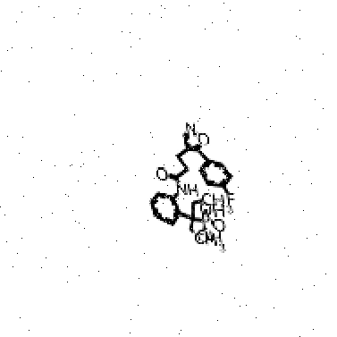 CCC(CC)(c1ccccc1NC(=O)CCc1cnoc1-c1ccc(F)cc1)P(=O)(O)O